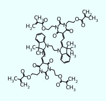 C=C(C)C(=O)OCCN1C(=O)C(=C/C=C2/N(CCN3/C(=C/C=C4C(=O)N(CCOC(=O)C(=C)C)C(=O)N(CCOC(=O)C(=C)C)C4=O)C(C)(C)c4ccccc43)c3ccccc3C2(C)C)C(=O)N(CCOC(=O)C(=C)C)C1=O